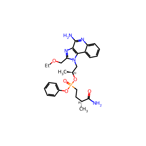 CCOCc1nc2c(N)nc3ccccc3c2n1C[C@H](C)OP(=O)(CC[C@@H](C)C(N)=O)Oc1ccccc1